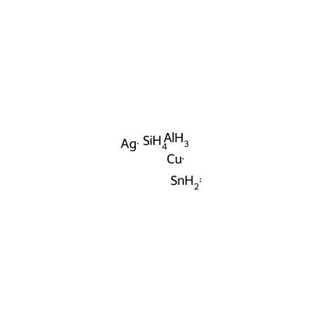 [Ag].[AlH3].[Cu].[SiH4].[SnH2]